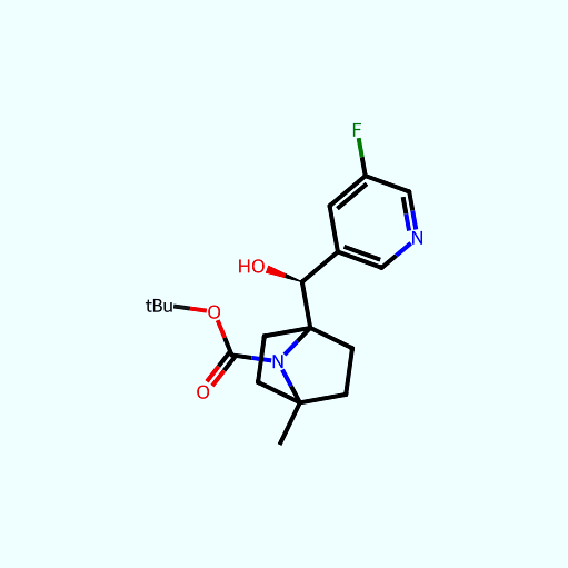 CC(C)(C)OC(=O)N1C2(C)CCC1([C@@H](O)c1cncc(F)c1)CC2